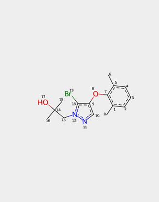 Cc1cccc(C)c1Oc1cnn(CC(C)(C)O)c1Br